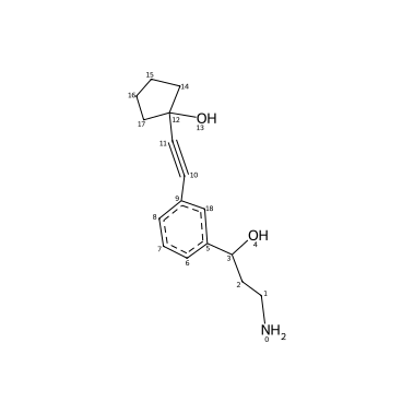 NCCC(O)c1cccc(C#CC2(O)CCCC2)c1